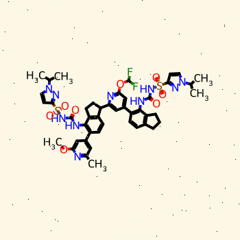 COc1cc(-c2ccc3c(c2NC(=O)NS(=O)(=O)c2ccn(C(C)C)n2)CCC3c2cc(-c3ccc4c(c3NC(=O)NS(=O)(=O)c3ccn(C(C)C)n3)CCC4)cc(OC(F)F)n2)cc(C)n1